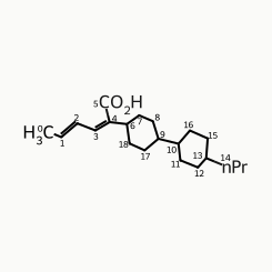 CC=CC=C(C(=O)O)C1CCC(C2CCC(CCC)CC2)CC1